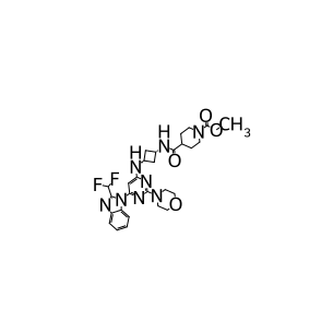 COC(=O)N1CCC(C(=O)N[C@H]2C[C@H](Nc3cc(-n4c(C(F)F)nc5ccccc54)nc(N4CCOCC4)n3)C2)CC1